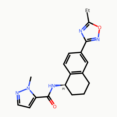 CCc1nc(-c2ccc3c(c2)CCC[C@H]3NC(=O)c2ccnn2C)no1